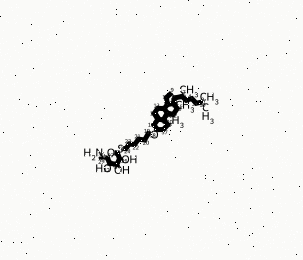 CC(C)CCC[C@@H](C)[C@H]1CCC2C3CC=C4C[C@@H](OCCCCCCS[C@H]5O[C@H](CN)[C@@H](O)[C@H](O)[C@@H]5O)CC[C@]4(C)C3CC[C@@]21C